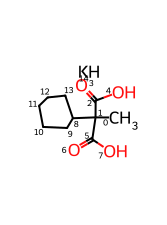 CC(C(=O)O)(C(=O)O)C1CCCCC1.[KH]